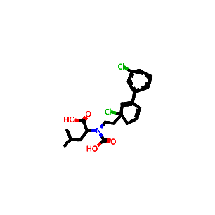 CC(C)CC(C(=O)O)N(CCC1(Cl)C=C(c2cccc(Cl)c2)C=CC1)C(=O)O